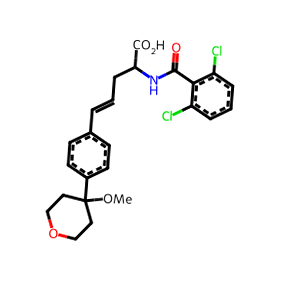 COC1(c2ccc(C=CCC(NC(=O)c3c(Cl)cccc3Cl)C(=O)O)cc2)CCOCC1